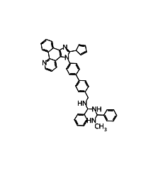 CNC(NC(NCc1ccc(-c2ccc(-n3c(C4C=CC=C4)nc4c5ccccc5c5ncccc5c43)cc2)cc1)c1ccccc1)c1ccccc1